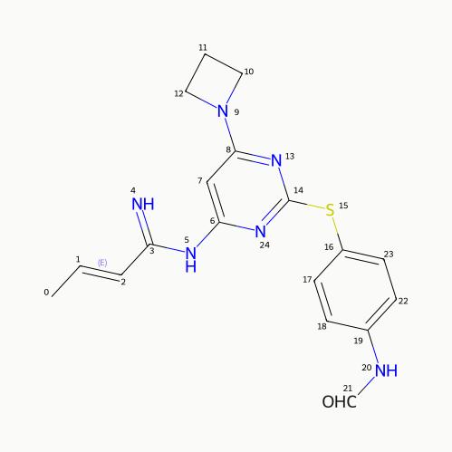 C/C=C/C(=N)Nc1cc(N2CCC2)nc(Sc2ccc(NC=O)cc2)n1